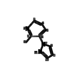 Cc1ncccc1-n1cccn1